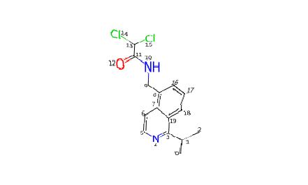 CC(C)c1nccc2c(CNC(=O)C(Cl)Cl)cccc12